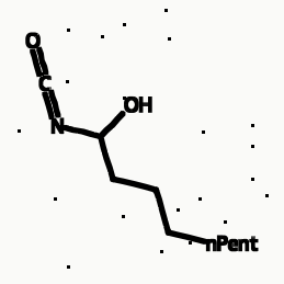 CCCCCCCCC(O)N=C=O